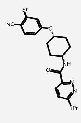 CCc1cc(O[C@H]2CC[C@H](NC(=O)c3ccc(C(C)C)nn3)CC2)ccc1C#N